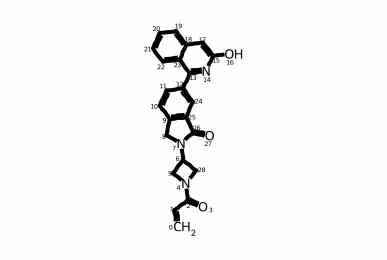 C=CC(=O)N1CC(N2Cc3ccc(-c4nc(O)cc5ccccc45)cc3C2=O)C1